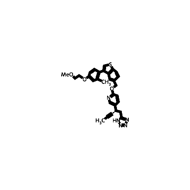 CC#C[C@@H](Cc1nnn[nH]1)c1ccc(OCc2ccc3scc(-c4ccc(OCCOC)cc4C)c3c2)nc1